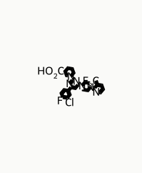 O=C(O)[C@H]1CCCN(c2nc(-c3ccc(F)c(Cl)c3)cc(N3CCN(c4ncccc4C(F)(F)F)CC3)n2)C1